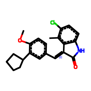 COc1ccc(/C=C2/C(=O)Nc3ccc(Cl)c(C)c32)cc1C1CCCC1